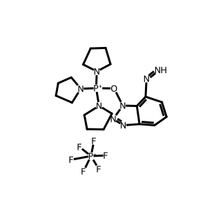 F[P-](F)(F)(F)(F)F.N=Nc1cccc2nnn(O[P+](N3CCCC3)(N3CCCC3)N3CCCC3)c12